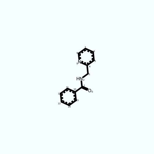 O=C(NCc1ccccn1)c1c[c]ccc1